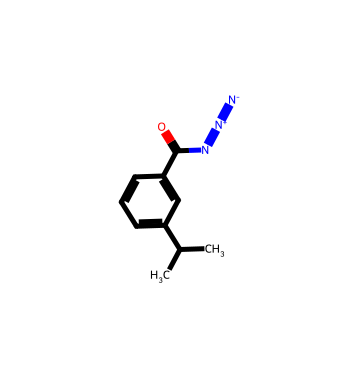 CC(C)c1cccc(C(=O)N=[N+]=[N-])c1